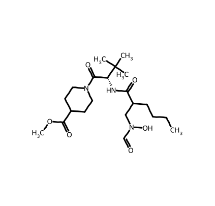 CCCCC(CN(O)C=O)C(=O)N[C@H](C(=O)N1CCC(C(=O)OC)CC1)C(C)(C)C